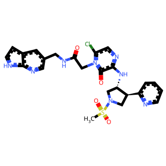 CS(=O)(=O)N1C[C@H](Nc2ncc(Cl)n(CC(=O)NCc3cnc4[nH]ccc4c3)c2=O)[C@@H](c2ccccn2)C1